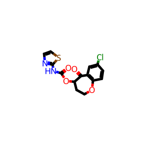 O=C(Nc1nccs1)OC1CCOc2ccc(Cl)cc2C1=O